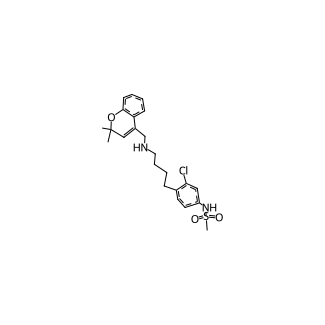 CC1(C)C=C(CNCCCCc2ccc(NS(C)(=O)=O)cc2Cl)c2ccccc2O1